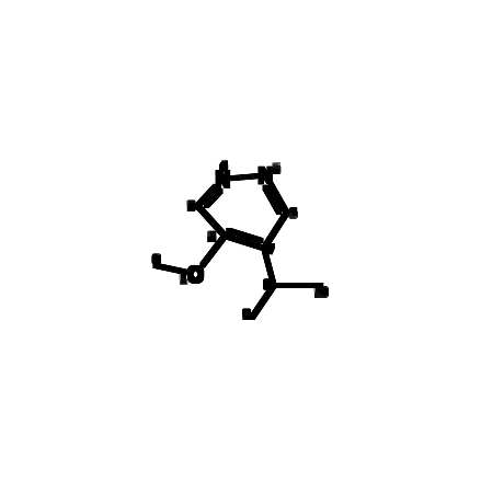 COc1cnncc1C(C)C